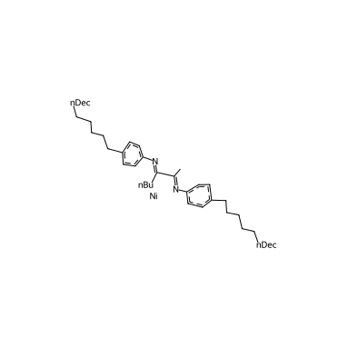 CCCCCCCCCCCCCCCc1ccc(/N=C(C)/C(CCCC)=N/c2ccc(CCCCCCCCCCCCCCC)cc2)cc1.[Ni]